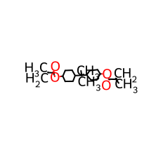 C=C(C)C(=O)OC1CCC(C(C)(C)C2CCC(OC(=O)C(=C)C)CC2)CC1